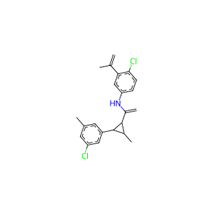 C=C(C)c1cc(NC(=C)C2C(C)C2c2cc(C)cc(Cl)c2)ccc1Cl